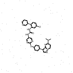 CN(C)c1ccn2ncc(-c3ccc(Oc4ncc(NC(=O)Nc5cc(Cl)ccc5-c5cccnc5)cn4)cc3)c2n1